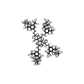 CC(OC(=O)CCc1cc(C(C)(C)C)c(O[Si](C)(C)C(C)(C)C)c(C(C)(C)C)c1)C(OC(=O)CCc1cc(C(C)(C)C)c(O[Si](C)(C)C(C)(C)C)c(C(C)(C)C)c1)C(COC(=O)CCc1cc(C(C)(C)C)c(O[Si](C)(C)C(C)(C)C)c(C(C)(C)C)c1)OC(=O)CCc1cc(C(C)(C)C)c(O[Si](C)(C)C(C)(C)C)c(C(C)(C)C)c1